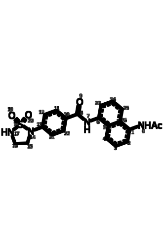 CC(=O)Nc1cccc2c(NC(=O)c3ccc(N4CCNS4(=O)=O)cc3)cccc12